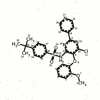 COc1ccccc1Oc1c(Cl)nc(-c2ccncc2)nc1NS(=O)(=O)c1ccc(C(C)(C)C)cc1